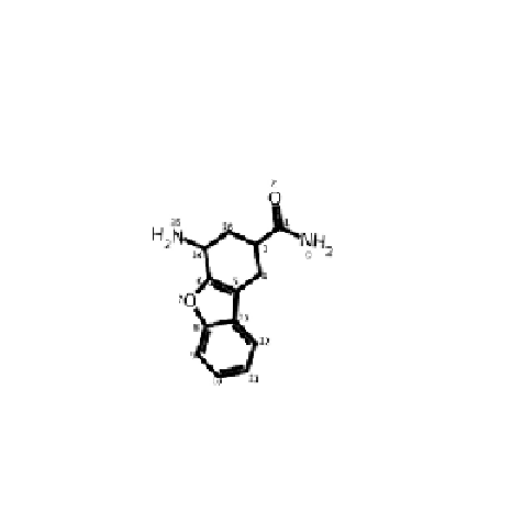 NC(=O)C1Cc2c(oc3ccccc23)C(N)C1